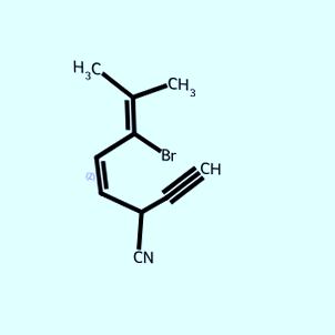 C#CC(C#N)/C=C\C(Br)=C(C)C